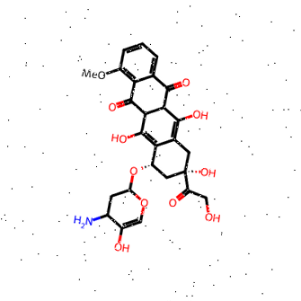 COc1cccc2c1C(=O)C1C(O)=C3C(=C(O)C1C2=O)C[C@@](O)(C(=O)CO)C[C@@H]3OC1CC(N)C(O)=CO1